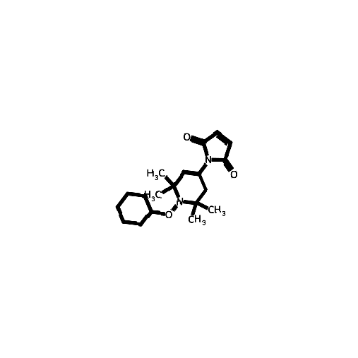 CC1(C)CC(N2C(=O)C=CC2=O)CC(C)(C)N1OC1CCCCC1